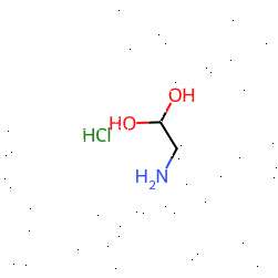 Cl.NCC(O)O